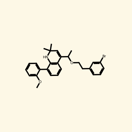 COc1ccccc1-c1cccc2c1NC(C)(C)C=C2C(C)OCCc1cccc(Br)c1